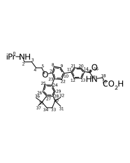 CC(C)NCCCCOc1ccc(-c2ccc(C(=O)NCC(=O)O)cc2)cc1-c1ccc2c(c1)C(C)(C)CCC2(C)C